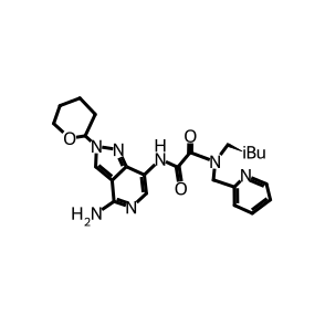 CC[C@H](C)CN(Cc1ccccn1)C(=O)C(=O)Nc1cnc(N)c2cn(C3CCCCO3)nc12